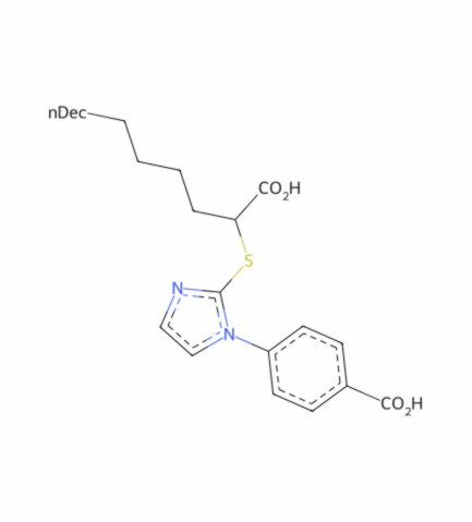 CCCCCCCCCCCCCCC(Sc1nccn1-c1ccc(C(=O)O)cc1)C(=O)O